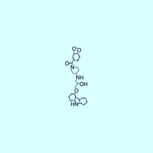 O=C(c1ccc2c(c1)OCO2)N1CCC(NCC(O)COc2cccc3[nH]c4ccccc4c23)CC1